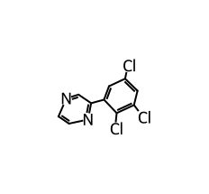 Clc1cc(Cl)c(Cl)c(-c2cnccn2)c1